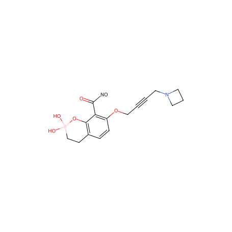 O=NC(=O)c1c(OCC#CCN2CCC2)ccc2c1O[B-](O)(O)CC2